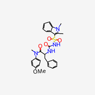 COc1ccc(N(C)C(=O)C(Cc2ccccc2)NC(=O)NS(=O)(=O)c2c(C)n(C)c3ccccc23)cc1